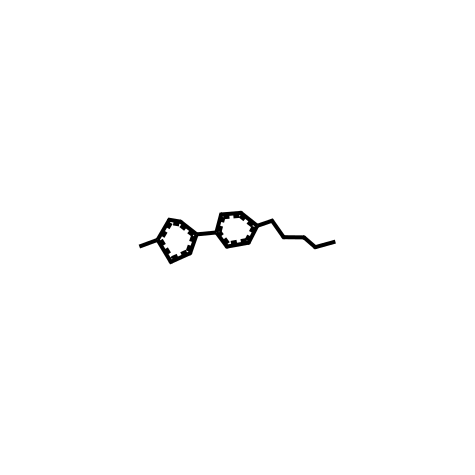 CCCCCc1ccc(-c2ccc(C)cc2)cc1